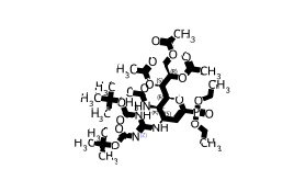 CCOP(=O)(OCC)C1=C[C@H](N/C(=N/C(=O)OC(C)(C)C)NC(=O)OC(C)(C)C)[C@@H](NC(C)=O)[C@H]([C@H](OC(C)=O)[C@@H](COC(C)=O)OC(C)=O)O1